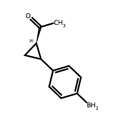 Bc1ccc(C2C[C@H]2C(C)=O)cc1